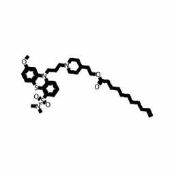 C=CCCCCCCCCC(=O)OCCC1CCN(CCCN2c3cc(OC)ccc3Sc3c2cccc3S(=O)(=O)N(C)C)CC1